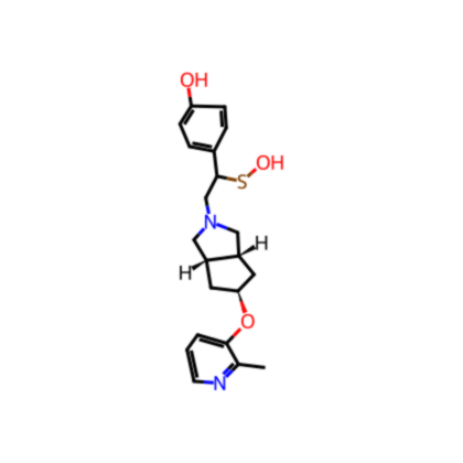 Cc1ncccc1O[C@H]1C[C@@H]2CN(CC(SO)c3ccc(O)cc3)C[C@@H]2C1